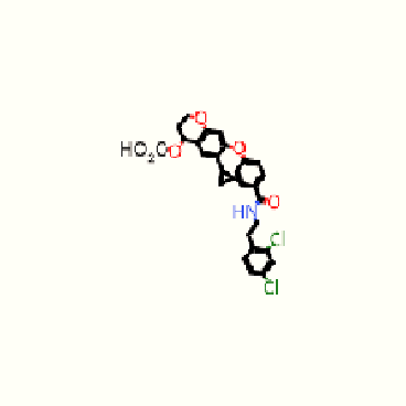 O=C(O)OC1CCOc2cc(Oc3ccc(C(=O)NCCc4ccc(Cl)cc4Cl)cc3)c(C3CC3)cc21